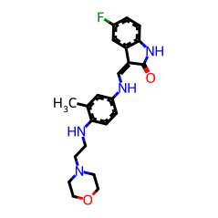 Cc1cc(NC=C2C(=O)Nc3ccc(F)cc32)ccc1NCCN1CCOCC1